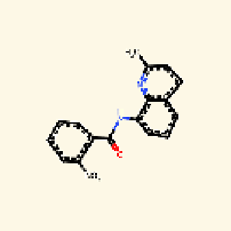 Cc1ccc2cccc(NC(=O)c3ccccc3[N+](=O)[O-])c2n1